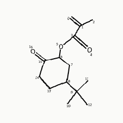 C=C(C)C(=O)OC1CC(C(C)(C)C)CCC1=O